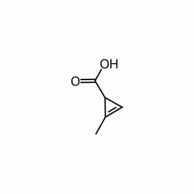 CC1=CC1C(=O)O